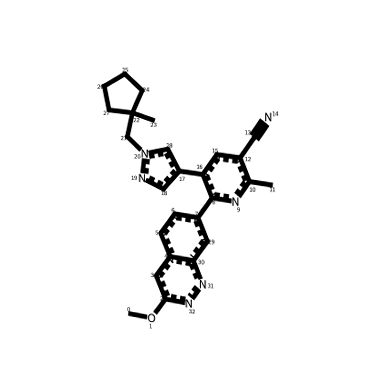 COc1cc2ccc(-c3nc(C)c(C#N)cc3-c3cnn(CC4(C)CCCC4)c3)cc2nn1